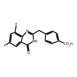 O=C(O)c1ccc(Cc2nc3c(F)cc(F)cc3c(=O)[nH]2)cc1